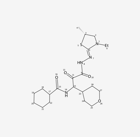 CCN1C[C@@H](C)SC1=NNC(=O)C(=O)C(NC(=O)C1CCCCC1)C1CCOCC1